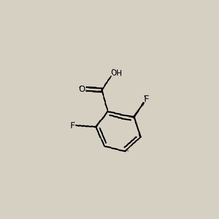 O=C(O)c1c(F)c[c]cc1F